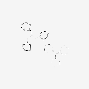 C1CCC(P(C2CCCCC2)C2CCCCC2)CC1.c1ccc(CP(Cc2ccccc2)Cc2ccccc2)cc1